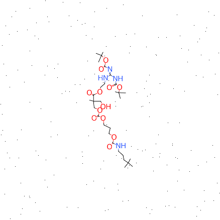 CC(C)(C)CCCNC(=O)OCCCOC(=O)OCC(C)(CO)C(=O)OCCN/C(=N\C(=O)OC(C)(C)C)NC(=O)OC(C)(C)C